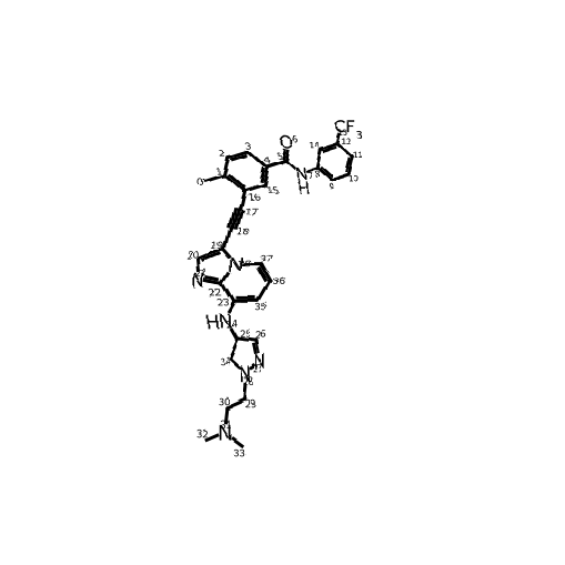 Cc1ccc(C(=O)Nc2cccc(C(F)(F)F)c2)cc1C#Cc1cnc2c(NC3C=NN(CCN(C)C)C3)cccn12